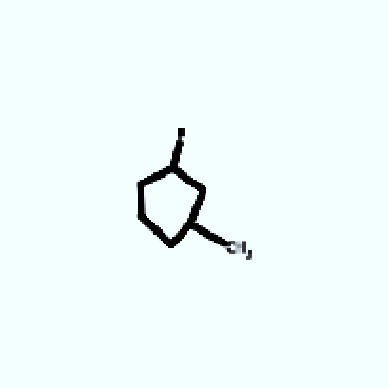 CC1C[CH]CC(F)C1